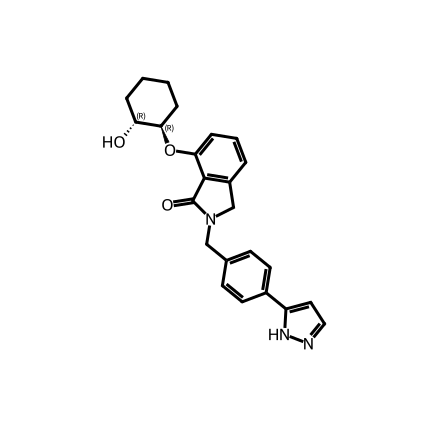 O=C1c2c(cccc2O[C@@H]2CCCC[C@H]2O)CN1Cc1ccc(-c2ccn[nH]2)cc1